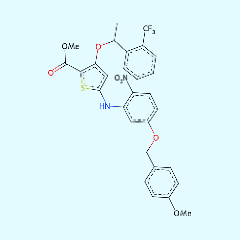 COC(=O)c1sc(Nc2cc(OCc3ccc(OC)cc3)ccc2[N+](=O)[O-])cc1OC(C)c1ccccc1C(F)(F)F